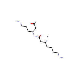 CNCCCCC(CC(=O)NC(CCCNC)CC(C)=O)NC